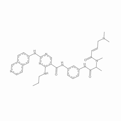 CCCNc1nc(Nc2ccc3cnccc3c2)ncc1C(=O)Nc1cccc(NC(=O)C(C)N(C)C(=O)/C=C/CN(C)C)c1